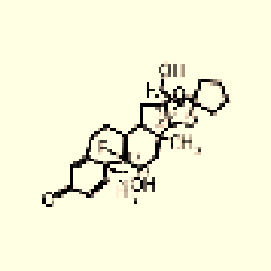 CC12C[C@H](O)[C@@]3(F)C(CCC4=CC(=O)C=CC43C)C1C[C@H]1OC3(CCCC3)O[C@]12C(=O)CO